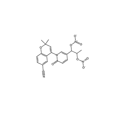 CC(O[N+](=O)[O-])C(O[N+](=O)[O-])c1ccc(=O)n(C2=CC(C)(C)Oc3ccc(C#N)cc32)c1